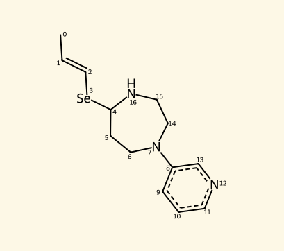 CC=C[Se]C1CCN(c2cccnc2)CCN1